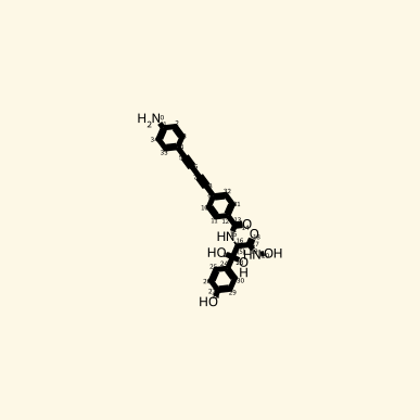 Nc1ccc(C#CC#Cc2ccc(C(=O)N[C@H](C(=O)NO)C(O)(O)c3ccc(O)cc3)cc2)cc1